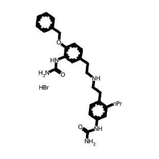 Br.CCCc1cc(NC(N)=O)ccc1CCNCCc1ccc(OCc2ccccc2)c(NC(N)=O)c1